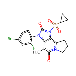 Cc1c(=O)n2c(c3c1n(-c1ccc(Br)cc1F)c(=O)n3S(=O)(=O)C1CC1)CCC2